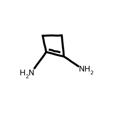 NC1=C(N)CC1